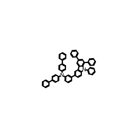 c1ccc(-c2ccc(N(c3ccc(-c4ccccc4)cc3)c3cccc(-c4ccc5c(c4)c4cc(-c6ccccc6)cc(-c6ccccc6)c4n5-c4ccccc4)c3)cc2)cc1